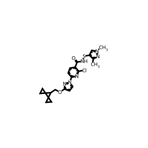 Cc1nn(C)cc1SNC(=O)c1ccc(-n2ccc(OCC3C4(CC4)C34CC4)n2)nc1Cl